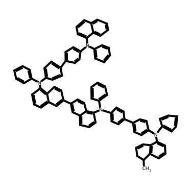 CC1CC=Cc2c1cccc2N(c1ccccc1)c1ccc(-c2ccc(N(c3ccccc3)c3cccc4cc(-c5ccc6c(N(c7ccccc7)c7ccc(-c8ccc(N(c9ccccc9)c9cccc%10ccccc9%10)cc8)cc7)cccc6c5)ccc34)cc2)cc1